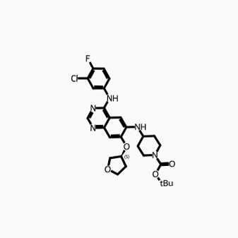 CC(C)(C)OC(=O)N1CCC(Nc2cc3c(Nc4ccc(F)c(Cl)c4)ncnc3cc2O[C@H]2CCOC2)CC1